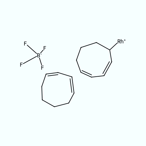 C1=C\CCCC\C=C/1.F[B-](F)(F)F.[Rh+][CH]1/C=C\C=C/CCC1